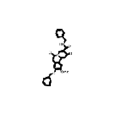 CCC1Cc2cc(OCc3ccccc3)c(OC)cc2-c2cc(=O)c(C(=O)NCc3ccccc3)cn21